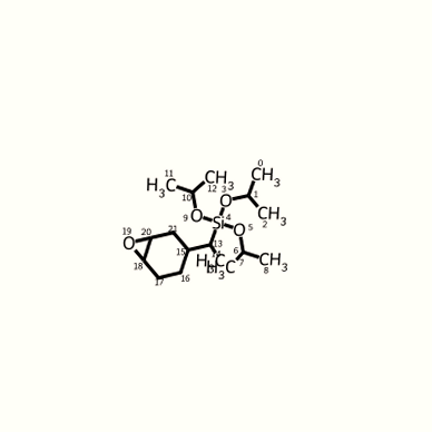 CC(C)O[Si](OC(C)C)(OC(C)C)C(C)C1CCC2OC2C1